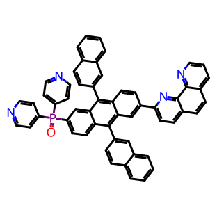 O=P(c1ccncc1)(c1ccncc1)c1ccc2c(-c3ccc4ccccc4c3)c3cc(-c4ccc5ccc6cccnc6c5n4)ccc3c(-c3ccc4ccccc4c3)c2c1